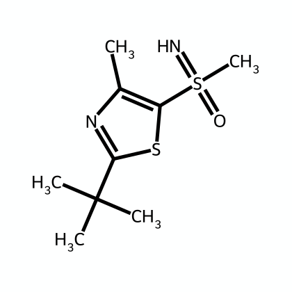 Cc1nc(C(C)(C)C)sc1S(C)(=N)=O